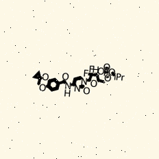 CC(C)OP1(=O)OCC2OC(n3ccc(NC(=O)c4ccc5c(c4)OC4(CC4)CO5)nc3=O)C(F)(F)[C@@H]2O1